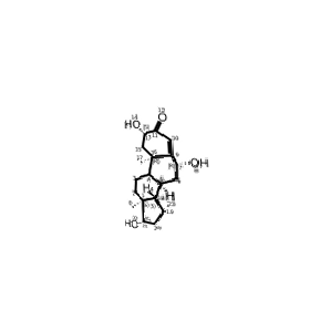 C[C@]12CCC3[C@@H](C[C@@H](O)C4=CC(=O)[C@@H](O)C[C@@]43C)[C@@H]1CC[C@@H]2O